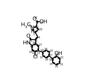 Cn1nc(C=C2C(=O)Nc3cc(Cl)c(-c4ccc(-c5ccccc5O)cc4)cc32)cc1C(=O)O